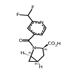 O=C(O)[C@H]1C[C@H]2C[C@H]2N1C(=O)c1ccnc(C(F)F)c1